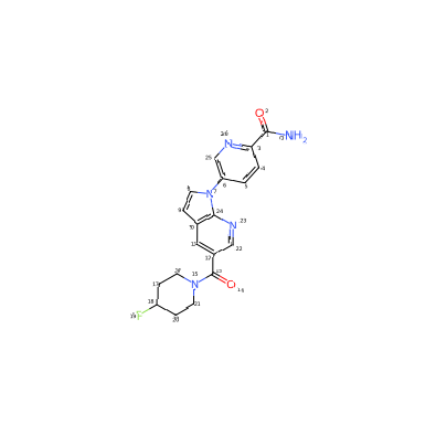 NC(=O)c1ccc(-n2ccc3cc(C(=O)N4CCC(F)CC4)cnc32)cn1